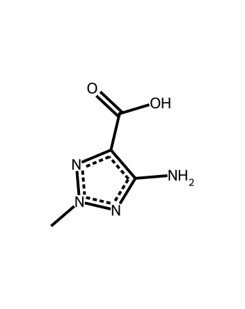 Cn1nc(N)c(C(=O)O)n1